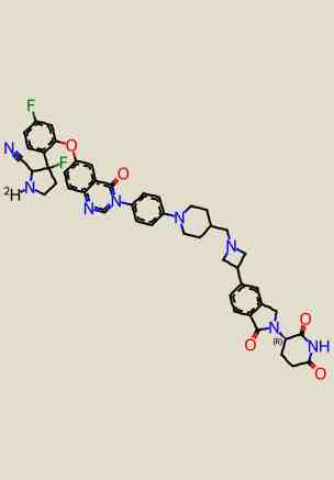 [2H]N1CCC(F)(c2ccc(F)cc2Oc2ccc3ncn(-c4ccc(N5CCC(CN6CC(c7ccc8c(c7)CN([C@@H]7CCC(=O)NC7=O)C8=O)C6)CC5)cc4)c(=O)c3c2)C1C#N